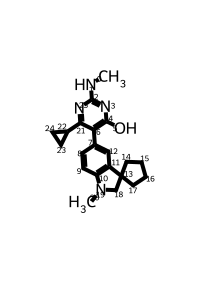 CNc1nc(O)c(-c2ccc3c(c2)C2(CCCC2)CN3C)c(C2CC2)n1